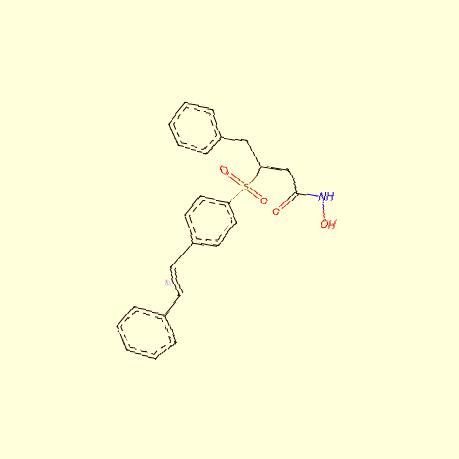 O=C(CC(Cc1ccccc1)S(=O)(=O)c1ccc(/C=C/c2ccccc2)cc1)NO